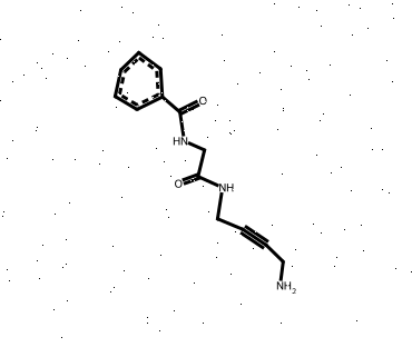 NCC#CCNC(=O)CNC(=O)c1ccccc1